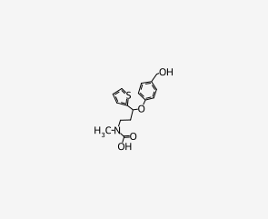 CN(CCC(Oc1ccc(CO)cc1)c1cccs1)C(=O)O